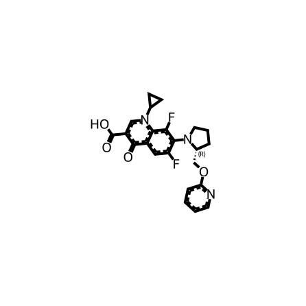 O=C(O)c1cn(C2CC2)c2c(F)c(N3CCC[C@@H]3COc3ccccn3)c(F)cc2c1=O